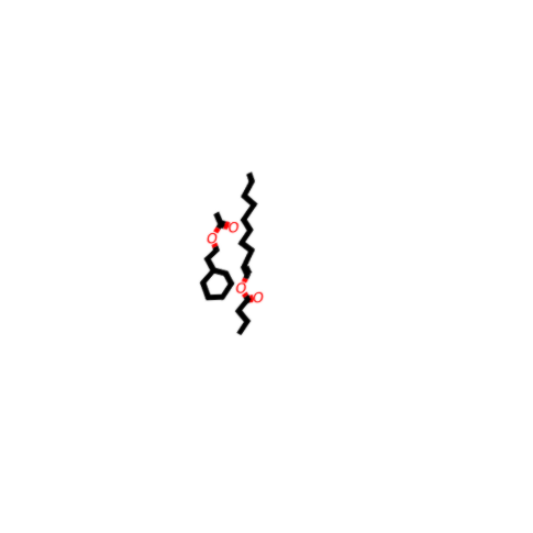 CC(=O)OCCC1CCCCC1.CCCCCCCCC=COC(=O)CCC